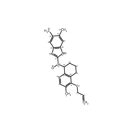 C=CCOc1c(C)cnc2c1CCCC2[S+]([O-])c1nc2cc(C)c(C)cc2[nH]1